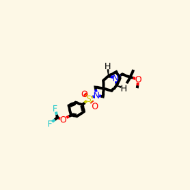 COC(C)(C)CN1[C@@H]2CC[C@H]1CC1(C2)CN(S(=O)(=O)c2ccc(OC(F)F)cc2)C1